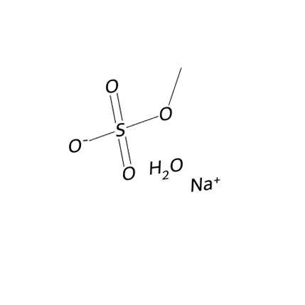 COS(=O)(=O)[O-].O.[Na+]